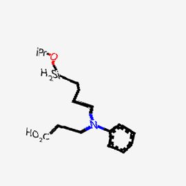 CC(C)O[SiH2]CCCN(CCC(=O)O)c1ccccc1